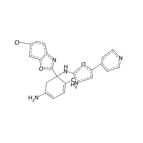 CC1=CC=C(N)CC1(Nc1ncc(-c2ccncc2)o1)c1nc2ccc(Cl)cc2o1